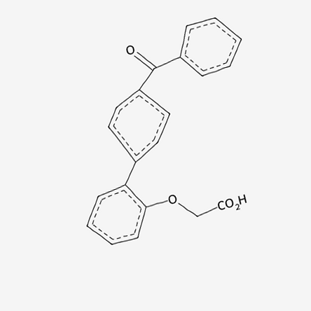 O=C(O)COc1ccccc1-c1ccc(C(=O)c2ccccc2)cc1